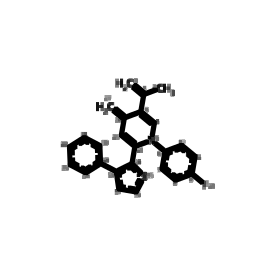 C=C(C)C1=CN(c2ccc(F)cc2)C(c2sccc2-c2ccccc2)=CC1=C